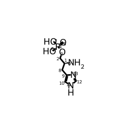 N[C@H](COP(=O)(O)O)Cc1c[nH]cn1